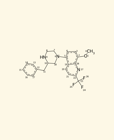 COc1ccc(N2CCNC(Cc3ccccc3)C2)c2ccc(C(F)(F)F)nc12